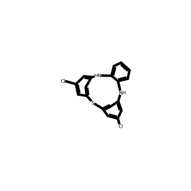 Clc1cc2cc(c1)sc1cc(Cl)cc(c1)[nH]c1ccccc1[nH]2